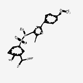 CCN(c1nc(-c2ccc(OC(F)(F)F)cc2)sc1C)S(=O)(=O)c1ccc(C(C)C)c(C(=O)OC)c1